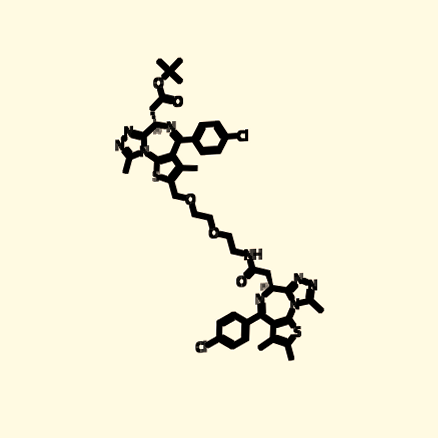 Cc1sc2c(c1C)C(c1ccc(Cl)cc1)=N[C@@H](CC(=O)NCCOCCOCc1sc3c(c1C)C(c1ccc(Cl)cc1)=N[C@@H](CC(=O)OC(C)(C)C)c1nnc(C)n1-3)c1nnc(C)n1-2